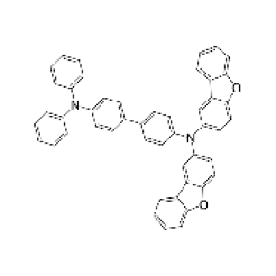 c1ccc(N(c2ccccc2)c2ccc(-c3ccc(N(c4ccc5oc6ccccc6c5c4)c4ccc5oc6ccccc6c5c4)cc3)cc2)cc1